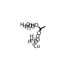 CC(=O)O.O.O.O.O.O.O.[Cu]